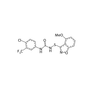 COc1cccc2onc(SNC(=O)Nc3ccc(Cl)c(C(F)(F)F)c3)c12